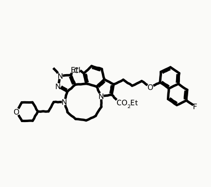 CCOC(=O)c1c(CCCOc2cccc3cc(F)ccc23)c2ccc(Cl)c3c2n1CCCCCN(CCC1CCOCC1)c1nn(C)c(CC)c1-3